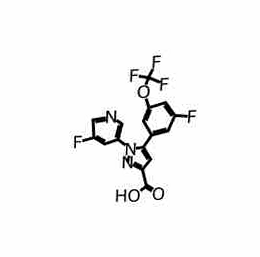 O=C(O)c1cc(-c2cc(F)cc(OC(F)(F)F)c2)n(-c2cncc(F)c2)n1